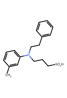 Cc1cccc(N(CCCS(=O)(=O)O)CCc2ccccc2)c1